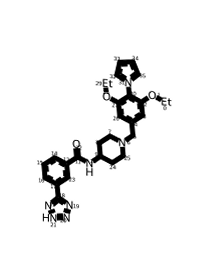 CCOc1cc(CN2CCC(NC(=O)c3cccc(-c4nn[nH]n4)c3)CC2)cc(OCC)c1-n1cccc1